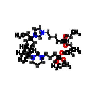 CCO[SiH](CCCCN1CCN([Si](CC)(CC)CC)C1)OCC.CO[Si](CCCN1CCCN([Si](C)(C)C)C1)(OC)OC